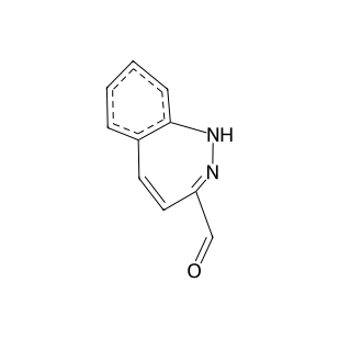 O=CC1=NNc2ccccc2C=C1